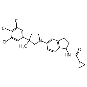 CC1(c2cc(Cl)c(Cl)c(Cl)c2)CCN(c2ccc3c(c2)CCC3NC(=O)C2CC2)C1